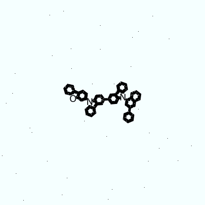 c1ccc(-c2cc(-n3c4ccccc4c4cc(-c5ccc6c(c5)c5ccccc5n6-c5ccc6c(c5)oc5ccccc56)ccc43)c3ccccc3c2)cc1